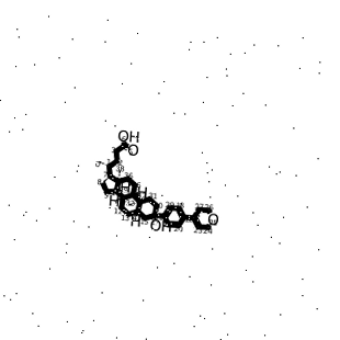 C[C@H](CCC(=O)O)[C@H]1CC[C@H]2[C@@H]3CC[C@@H]4C[C@](O)(c5ccc(C6=CCOCC6)cc5)CC[C@]4(C)[C@H]3CC[C@]12C